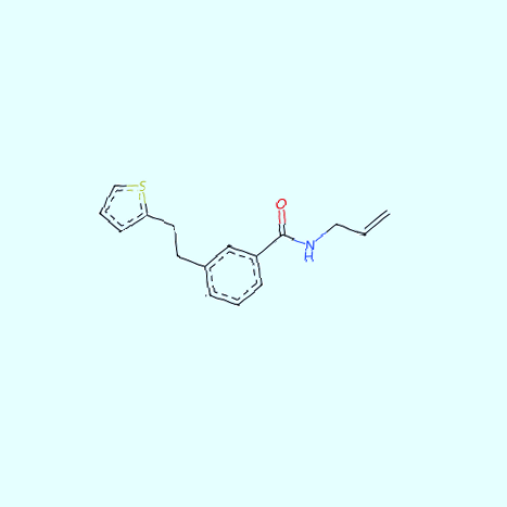 C=CCNC(=O)c1cc[c]c(CCc2cccs2)c1